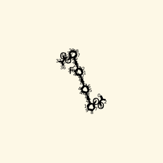 C=C(C)C(=O)Oc1ccccc1C#Cc1ccc(C#Cc2ccc(C#Cc3ccccc3OC(=O)C(=C)C)c(F)c2)cc1